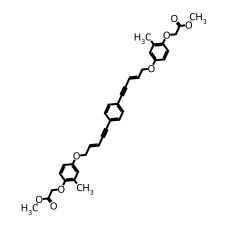 COC(=O)COc1ccc(OCC=CC#Cc2ccc(C#CC=CCOc3ccc(OCC(=O)OC)c(C)c3)cc2)cc1C